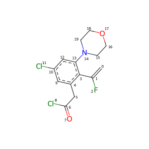 C=C(F)c1c(CC(=O)Cl)cc(Cl)cc1N1CCOCC1